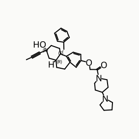 CC#C[C@@]1(O)CC[C@@]2(Cc3ccccc3)c3ccc(OCC(=O)N4CCC(N5CCCC5)CC4)cc3CC[C@@H]2C1